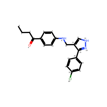 CCCC(=O)c1ccc(NCc2c[nH]nc2-c2ccc(Cl)cc2)cc1